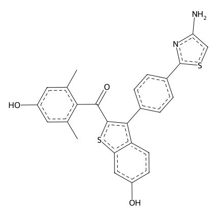 Cc1cc(O)cc(C)c1C(=O)c1sc2cc(O)ccc2c1-c1ccc(-c2nc(N)cs2)cc1